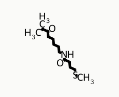 CSCCCC(=O)NCCCCCC(=O)C(C)C